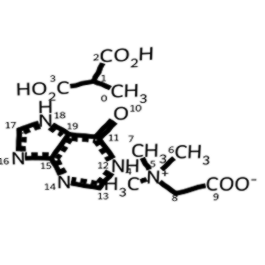 CC(C(=O)O)C(=O)O.C[N+](C)(C)CC(=O)[O-].O=c1[nH]cnc2nc[nH]c12